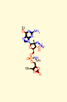 CCCNP(=O)(OCc1oc(=O)oc1C(C)(C)C)OC[C@H]1O[C@@H](n2cnc3c(OCC)nc(N)nc32)[C@](C)(N=[N+]=[N-])[C@@H]1O